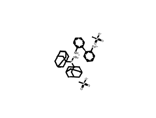 CCCCP(C12CC3CC(CC(C3)C1)C2)C12CC3CC(CC(C3)C1)C2.CS(=O)(=O)[O-].CS(=O)(=O)[O-].Nc1ccccc1-c1cccc[c]1[Pd+2]